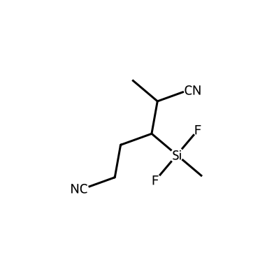 CC(C#N)C(CCC#N)[Si](C)(F)F